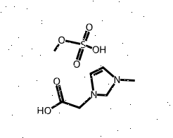 CN1C=CN(CC(=O)O)C1.COS(=O)(=O)O